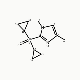 Cc1cn(C)c(P(=O)(C2CC2)C2CC2)n1